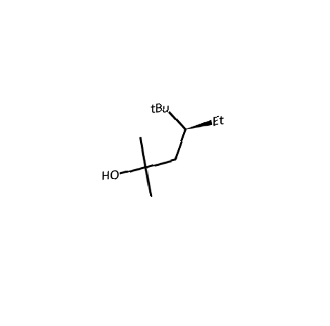 CC[C@@H](CC(C)(C)O)C(C)(C)C